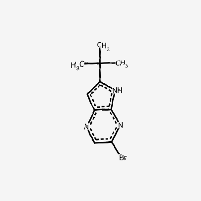 CC(C)(C)c1cc2ncc(Br)nc2[nH]1